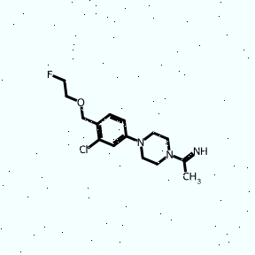 CC(=N)N1CCN(c2ccc(COCCF)c(Cl)c2)CC1